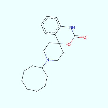 O=C1Nc2ccccc2C2(CCN(C3CCCCCCC3)CC2)O1